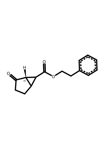 O=C(OCCc1ccccc1)C1C2CCC(=O)[C@@H]21